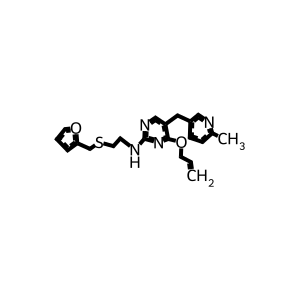 C=CCOc1nc(NCCSCc2ccco2)ncc1Cc1ccc(C)nc1